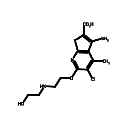 Cc1c(Cl)c(OCCNCCO)nc2sc(C(=O)O)c(N)c12